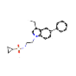 CC(C)(C)Cc1cn(CCNS(=O)(=O)C2CC2)c2ccc(-c3ccccc3)cc12